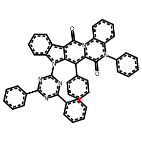 O=c1c2c(-c3ccccc3)c3c(c(=O)n2c2ccccc2n1-c1ccccc1)c1ccccc1n3-c1nc(-c2ccccc2)nc(-c2ccccc2)n1